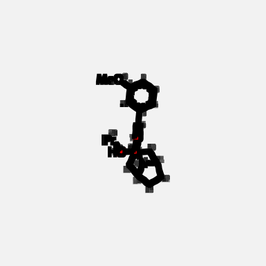 COc1cccc(C#CC2(O)CC3CCC(C2)N3C(=O)OC(C)C)c1